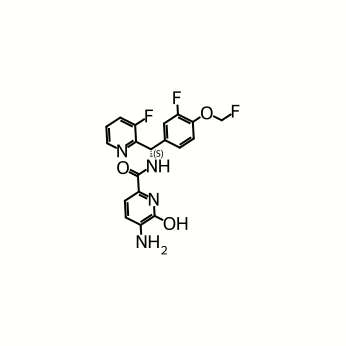 Nc1ccc(C(=O)N[C@@H](c2ccc(OCF)c(F)c2)c2ncccc2F)nc1O